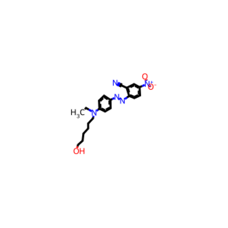 CCN(CCCCCCO)c1ccc(N=Nc2ccc([N+](=O)[O-])cc2C#N)cc1